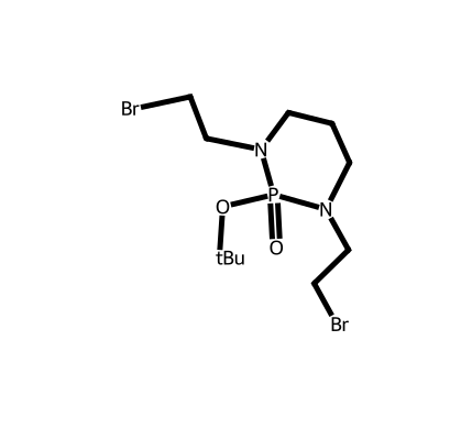 CC(C)(C)OP1(=O)N(CCBr)CCCN1CCBr